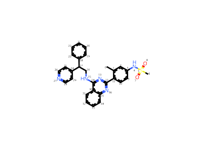 Cc1cc(NS(C)(=O)=O)ccc1-c1nc(NCC(c2ccccc2)c2ccncc2)c2ccccc2n1